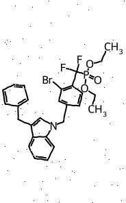 CCOP(=O)(OCC)C(F)(F)c1ccc(Cn2cc(Cc3ccccc3)c3ccccc32)cc1Br